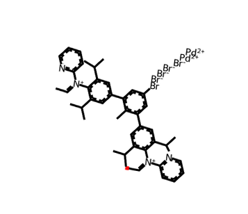 CC=[N+](c1ccccn1)c1c(C(C)C)cc(-c2cc(Br)cc(-c3cc(C(C)C)c([N+](=CC)c4ccccn4)c(C(C)C)c3)c2C)cc1C(C)C.[Br-].[Br-].[Br-].[Br-].[Pd+2].[Pd+2]